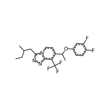 CCC(C)Cc1nnc2c(C(F)(F)F)c(C(C)Oc3ccc(F)c(F)c3)ccn12